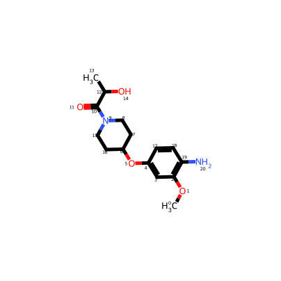 COc1cc(OC2CCN(C(=O)C(C)O)CC2)ccc1N